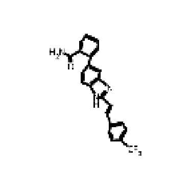 NC(=O)c1ccccc1-c1ccc2[nH]c(C=Cc3ccc(C(F)(F)F)cc3)nc2c1